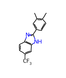 Cc1ccc(-c2nc3ccc(C(F)(F)F)cc3[nH]2)cc1C